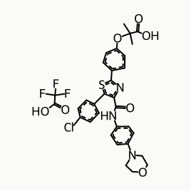 CC(C)(Oc1ccc(-c2nc(C(=O)Nc3ccc(N4CCOCC4)cc3)c(-c3ccc(Cl)cc3)s2)cc1)C(=O)O.O=C(O)C(F)(F)F